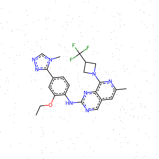 CCOc1cc(-c2nncn2C)ccc1Nc1ncc2cc(C)nc(N3CC(C(F)(F)F)C3)c2n1